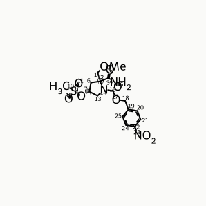 COC[C@]1(C(N)=O)C[C@@H](OS(C)(=O)=O)CN1C(=O)OCc1ccc([N+](=O)[O-])cc1